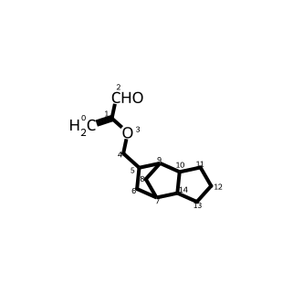 C=C(C=O)OCC1CC2CC1C1CCCC21